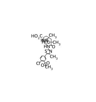 Cc1nc(NC(=O)C(C)(C)CC(C)(C)C[C@H](N)C(=O)O)sc1-c1ccc(Cl)c(S(C)(=O)=O)c1